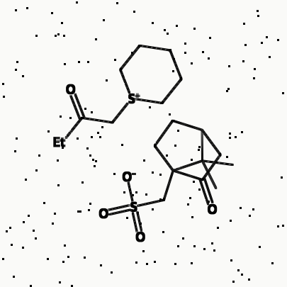 CC1(C)C2CCC1(CS(=O)(=O)[O-])C(=O)C2.CCC(=O)C[S+]1CCCCC1